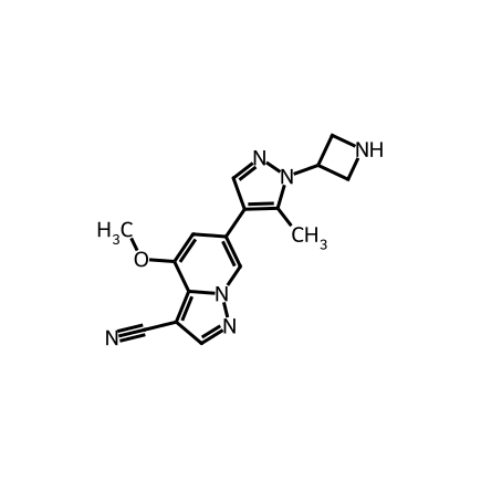 COc1cc(-c2cnn(C3CNC3)c2C)cn2ncc(C#N)c12